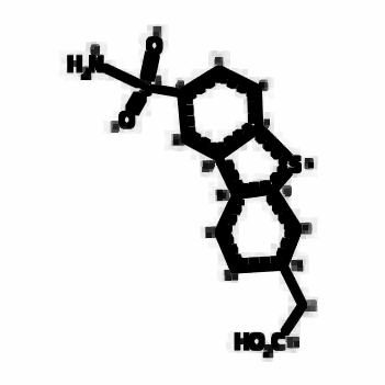 NS(=O)(=O)c1ccc2sc3cc(CC(=O)O)ccc3c2c1